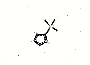 [CH3][Sn]([CH3])([CH3])[c]1cncs1